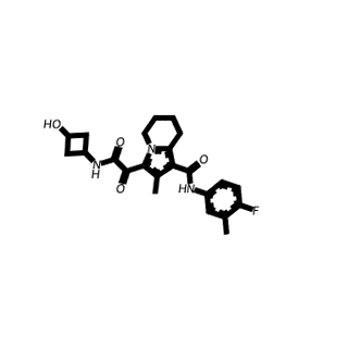 Cc1cc(NC(=O)c2c(C)c(C(=O)C(=O)NC3CC(O)C3)n3c2CCCC3)ccc1F